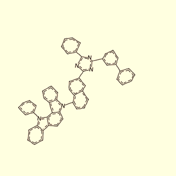 c1ccc(-c2cccc(-c3nc(-c4ccccc4)nc(-c4ccc5c(-n6c7ccccc7c7c6ccc6c8ccccc8n(-c8ccccc8)c67)cccc5c4)n3)c2)cc1